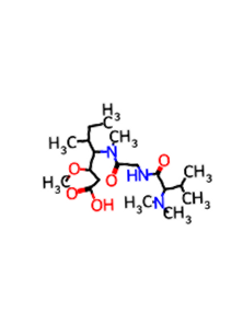 CCC(C)C(C(CC(=O)O)OC)N(C)C(=O)CNC(=O)C(C(C)C)N(C)C